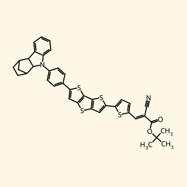 CC(C)(C)OC(=O)/C(C#N)=C/c1ccc(-c2cc3sc4cc(-c5ccc(N6c7ccccc7C7C8CCC(C8)C76)cc5)sc4c3s2)s1